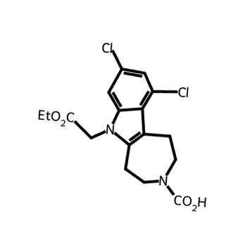 CCOC(=O)Cn1c2c(c3c(Cl)cc(Cl)cc31)CCN(C(=O)O)CC2